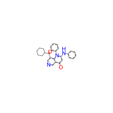 O=C(c1cncc2c(=O)cc(Nc3ccccc3)n(-c3ccccc3)c12)C1CCCCC1